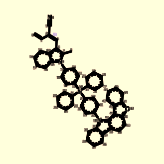 C=C/C(C#N)=C\c1c(C)n(-c2ccc([Si](c3ccccc3)(c3ccccc3)c3ccc(-n4c5ccccc5c5ccc6oc7ccccc7c6c54)cc3)cc2)c2ccccc12